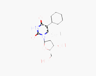 C[C@@]1(n2cc(C3CCCCC3)c(=O)[nH]c2=O)O[C@H](CO)[C@@H](O)[C@H]1[SeH]